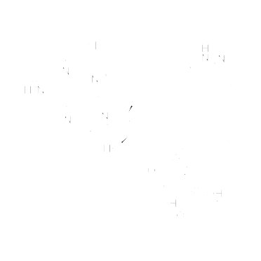 CO[C@H](COC(Cc1ccc(-c2cn[nH]c2C)cc1)(C(=O)O)C(=O)O)[C@@H](O)[C@H](F)n1cnc2c(N)nc(Cl)nc21